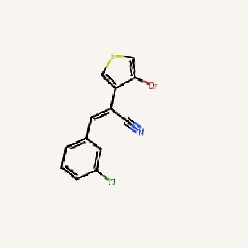 N#CC(=Cc1cccc(Cl)c1)c1cscc1Br